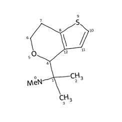 CNC(C)(C)C1OCCc2sccc21